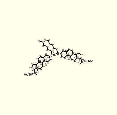 CC(=O)N[C@H](C)[C@H]1CCC2C3CC=C4C[C@@H](C(CCCCCI)OC(CCCCCI)[C@H]5CC[C@@]6(C)C(=CCC7C6CC[C@@]6(C)C7CC[C@@H]6[C@@H](C)NC(C)=O)C5)CC[C@]4(C)C3CC[C@@]21C